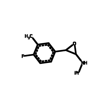 Cc1cc(C2OC2NC(C)C)ccc1F